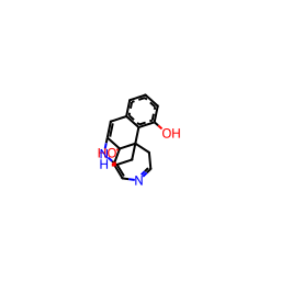 Oc1cccc2c1C13CC=NC=CC1(O)C(=C2)NCC3